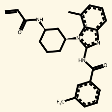 C=CC(=O)N[C@@H]1CCC[C@H](n2c(NC(=O)c3cccc(C(F)(F)F)c3)nc3cccc(C)c32)C1